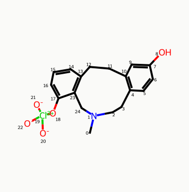 CN1CCc2ccc(O)cc2CCc2cccc(O[Cl+3]([O-])([O-])[O-])c2C1